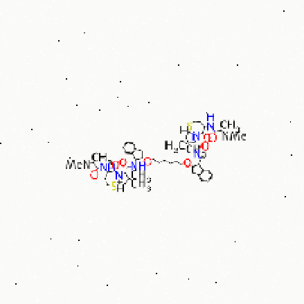 CN[C@@H](C)C(=O)N[C@H]1CCS[C@H]2CC(C)(C)[C@@H](C(=O)/N=C/C3c4ccccc4C[C@H]3OCCCCCCO[C@@H]3Cc4ccccc4[C@@H]3NC(=O)[C@H]3N4C(=O)[C@@H](NC(=O)[C@H](C)NC)CCS[C@H]4CC3(C)C)N2C1=O